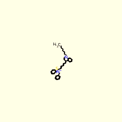 CCCCCCCCN1C=C\C(=C/C=C/C=C/c2sc3ccccc3[n+]2Cc2ccccc2)c2ccccc21